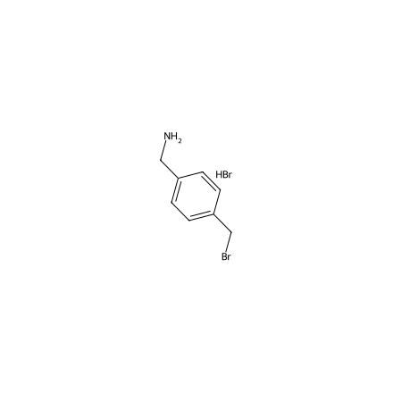 Br.NCc1ccc(CBr)cc1